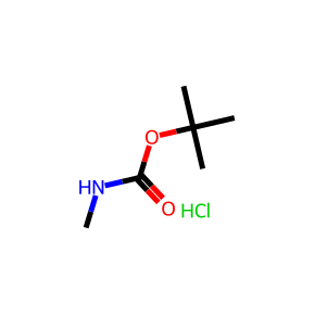 CNC(=O)OC(C)(C)C.Cl